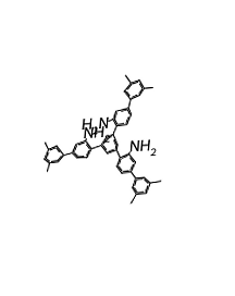 Cc1cc(C)cc(-c2ccc(-c3cc(-c4ccc(-c5cc(C)cc(C)c5)cc4N)cc(-c4ccc(-c5cc(C)cc(C)c5)cc4N)c3)c(N)c2)c1